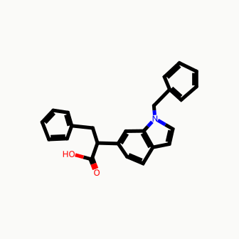 O=C(O)C(Cc1ccccc1)c1ccc2ccn(Cc3ccccc3)c2c1